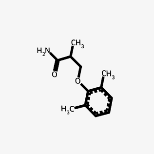 Cc1cccc(C)c1OCC(C)C(N)=O